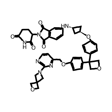 O=C1CCC(N2C(=O)c3ccc(N[C@H]4C[C@H](Oc5ccc(C6(c7ccc(OCc8ccnc(N9CC%10(COC%10)C9)n8)cc7)COC6)cc5)C4)cc3C2=O)C(=O)N1